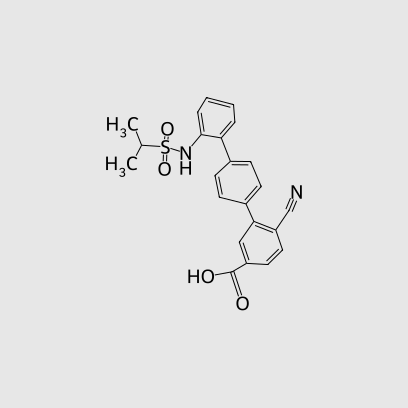 CC(C)S(=O)(=O)Nc1ccccc1-c1ccc(-c2cc(C(=O)O)ccc2C#N)cc1